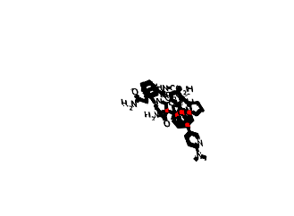 CC1C[C@@H](C2CCCN2[C@@]2(C(=O)NC(=O)O)c3ccc(cc3)C2(C)CC(N)=O)N(c2ccc(-c3ccc(N(C)C)nc3)cc2)[C@]1(C)C1CCCN1[C@@]1(C(=O)NC(=O)O)c2ccc(cc2)C1(C)CC(N)=O